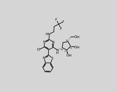 OC[C@H]1C[C@@H](Nc2nc(NCCC(F)(F)F)nc(Cl)c2-c2nc3ccccc3s2)[C@H](O)[C@@H]1O